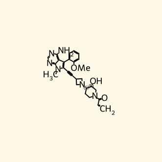 C=CC(=O)N1CC[C@H](N2CC(C#Cc3c(-c4ccccc4OC)c4c(N)ncnc4n3C)C2)[C@H](O)C1